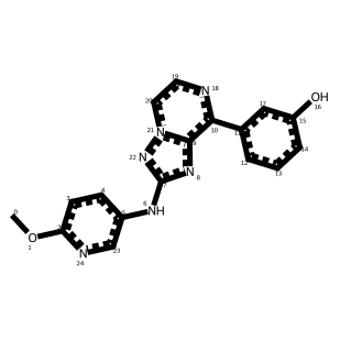 COc1ccc(Nc2nc3c(-c4cccc(O)c4)nccn3n2)cn1